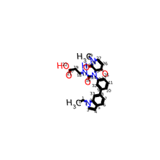 CCn1ccc2ccc(-c3cccc(N(C(=O)NCCC(=O)O)C4C(=O)C=CN(C)C4=O)c3)cc21